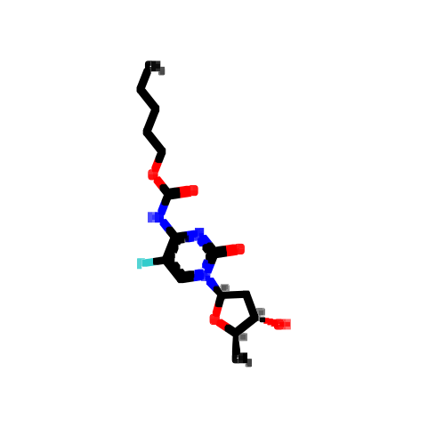 CCCCCOC(=O)Nc1nc(=O)n([C@H]2C[C@H](O)[C@@H](C)O2)cc1F